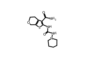 NC(=O)c1c(NC(=O)NN2CCCCC2)sc2c1CCOC2